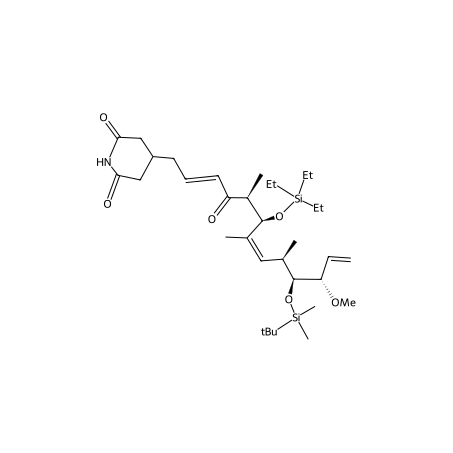 C=C[C@H](OC)[C@@H](O[Si](C)(C)C(C)(C)C)[C@H](C)/C=C(/C)[C@H](O[Si](CC)(CC)CC)[C@H](C)C(=O)/C=C/CC1CC(=O)NC(=O)C1